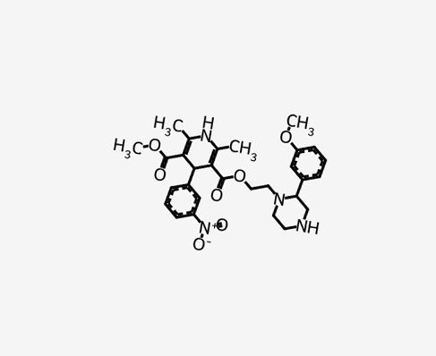 COC(=O)C1=C(C)NC(C)=C(C(=O)OCCN2CCNCC2c2cccc(OC)c2)C1c1cccc([N+](=O)[O-])c1